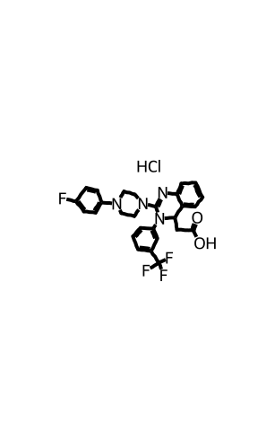 Cl.O=C(O)CC1c2ccccc2N=C(N2CCN(c3ccc(F)cc3)CC2)N1c1cccc(C(F)(F)F)c1